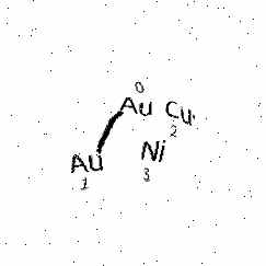 [Au][Au].[Cu].[Ni]